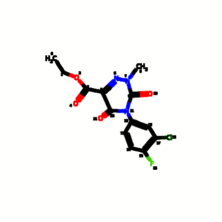 CCOC(=O)c1nn(C)c(=O)n(-c2ccc(F)c(Cl)c2)c1=O